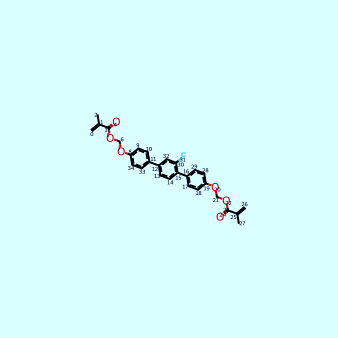 C=C(C)C(=O)OCOc1ccc(-c2ccc(-c3ccc(OCOC(=O)C(=C)C)cc3)c(F)c2)cc1